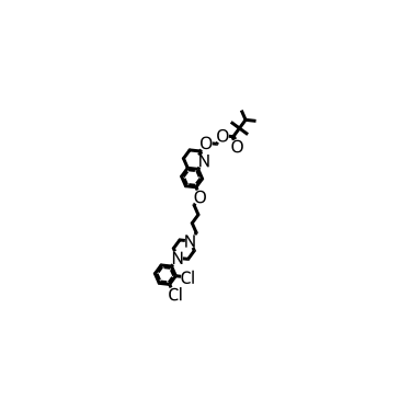 CC(C)C(C)(C)C(=O)OCOC1=Nc2cc(OCCCCN3CCN(c4cccc(Cl)c4Cl)CC3)ccc2CC1